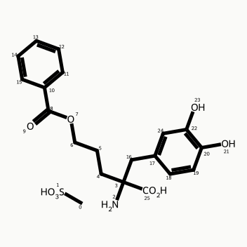 CS(=O)(=O)O.NC(CCCOC(=O)c1ccccc1)(Cc1ccc(O)c(O)c1)C(=O)O